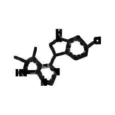 Cc1[nH]c2ncnc(C3CNc4cc(Cl)ccc43)c2c1C